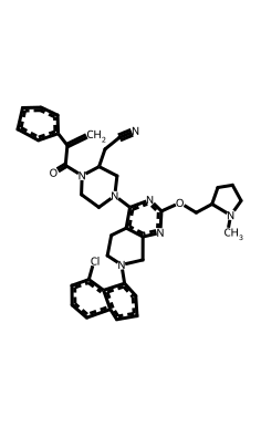 C=C(C(=O)N1CCN(c2nc(OCC3CCCN3C)nc3c2CCN(c2cccc4cccc(Cl)c24)C3)CC1CC#N)c1ccccc1